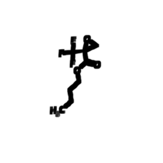 CCCCOC(=O)[C@@]1(C(F)(F)F)CO1